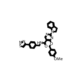 COc1ccc(COc2nc(N3CCc4ccccc43)ncc2C(=O)NCc2ccc(-c3csnn3)cc2)cc1